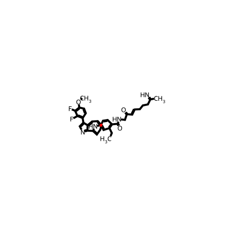 CCc1cc(N/C2=C\C/C=C\C=C3\C(c4ccc(OC)c(F)c4F)=CN=C23)ccc1C(=O)NCC(=O)/C=C/CCCC(C)=N